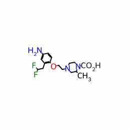 CC1CN(CCOc2ccc(N)cc2CC(F)F)CCN1C(=O)O